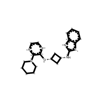 c1ccc2sc(N[C@H]3C[C@@H](Oc4nccnc4N4CCCCC4)C3)nc2c1